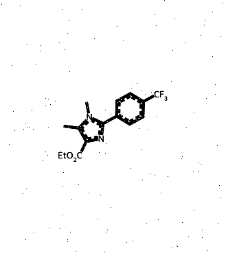 CCOC(=O)c1nc(-c2ccc(C(F)(F)F)cc2)n(C)c1C